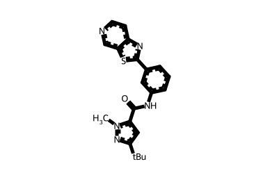 Cn1nc(C(C)(C)C)cc1C(=O)Nc1cccc(-c2nc3ccncc3s2)c1